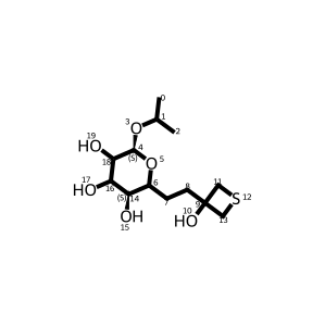 CC(C)O[C@H]1OC(CCC2(O)CSC2)[C@@H](O)C(O)C1O